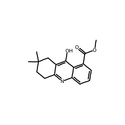 COC(=O)c1cccc2nc3c(c(O)c12)CC(C)(C)CC3